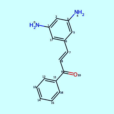 Nc1cc(N)cc(/C=C/C(=O)c2ccccc2)c1